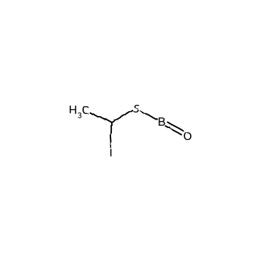 CC(I)SB=O